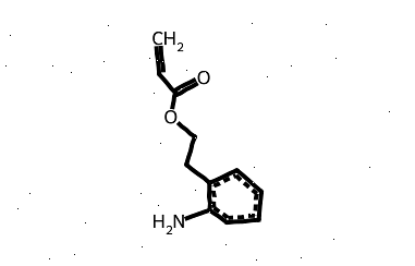 C=CC(=O)OCCc1ccccc1N